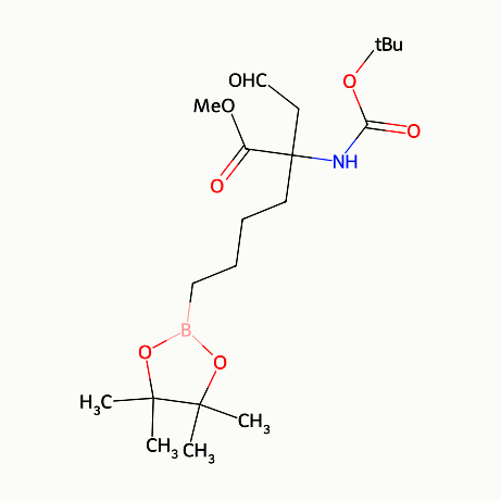 COC(=O)C(CC=O)(CCCCB1OC(C)(C)C(C)(C)O1)NC(=O)OC(C)(C)C